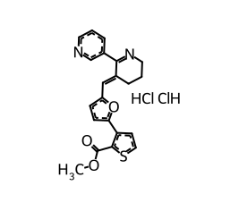 COC(=O)c1sccc1-c1ccc(/C=C2\CCCN=C2c2cccnc2)o1.Cl.Cl